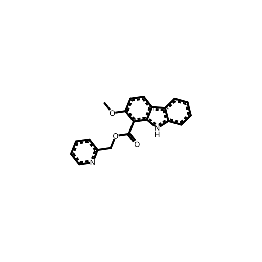 COc1ccc2c([nH]c3ccccc32)c1C(=O)OCc1ccccn1